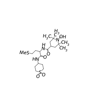 CSCCC(NC(=O)C1CC(C)(C)N(O)C(C)(C)C1)C(=O)NC1CCS(=O)(=O)CC1